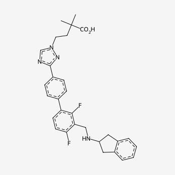 CC(C)(CCn1cnc(-c2ccc(-c3ccc(F)c(CNC4Cc5ccccc5C4)c3F)cc2)n1)C(=O)O